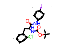 CC(C)(C)OC(=O)NC(Cc1ccccc1Cl)C(=O)Nc1ccc(I)cc1